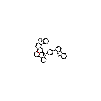 c1ccc(-c2ccccc2N(c2ccc(-c3cccc4c3sc3ccccc34)cc2)c2ccc3ccc4oc5ccccc5c4c3c2)cc1